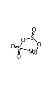 O=S([O][Au])OS(=O)(=O)S